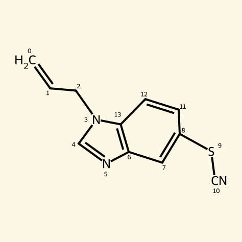 C=CCn1cnc2cc(SC#N)ccc21